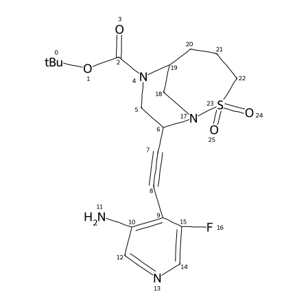 CC(C)(C)OC(=O)N1CC(C#Cc2c(N)cncc2F)N2CC1CCCS2(=O)=O